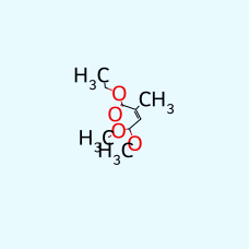 CCOC(=O)/C(C)=C\C(OC)OC